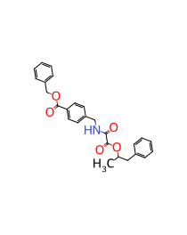 CC(Cc1ccccc1)OC(=O)C(=O)NCc1ccc(C(=O)OCc2ccccc2)cc1